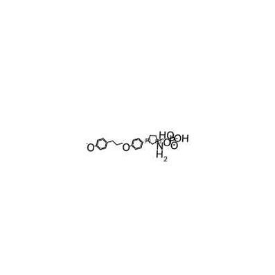 COc1ccc(CCCOc2ccc([C@@H]3CC[C@](N)(COP(=O)(O)O)C3)cc2)cc1